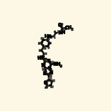 CC(=O)NCCNc1ccc(CCNc2nc(N)n3nc(-c4ccco4)nc3n2)cc1